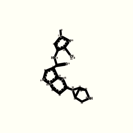 Cn1cc(NC(=O)c2cnn3ccc(N4CC5CC4CN5)nc23)c(C(F)(F)F)n1